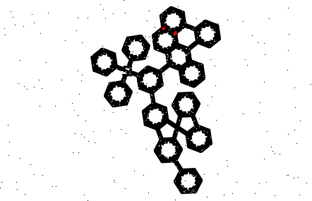 c1ccc(-c2ccc3c(c2)C2(c4ccccc4-c4ccccc42)c2cc(-c4cc(-c5c6ccccc6c(-c6ccccc6-c6ccccc6)c6ccccc56)cc([Si](c5ccccc5)(c5ccccc5)c5ccccc5)c4)ccc2-3)cc1